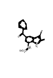 CCOC(=O)Nc1cc(C(=O)c2ccccc2)cc2c(C(C)=O)c(C)[nH]c12